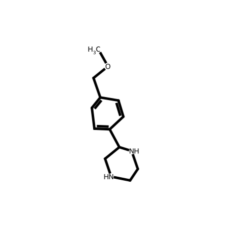 COCc1ccc(C2CNCCN2)cc1